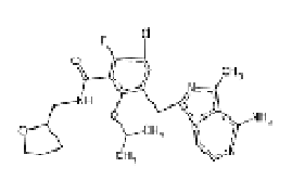 Cc1nc(Cc2cc(Cl)c(F)c(C(=O)NCC3CCCO3)c2OC(C)C)n2ccnc(N)c12